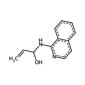 C=C[C](O)Nc1nccc2ccccc12